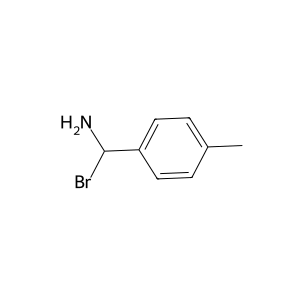 Cc1ccc(C(N)Br)cc1